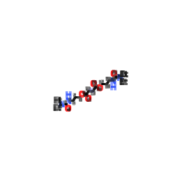 CCN(CC)C(=O)NCCCOC(=O)/C=C/C(=O)OCCCNC(=O)N(CC)CC